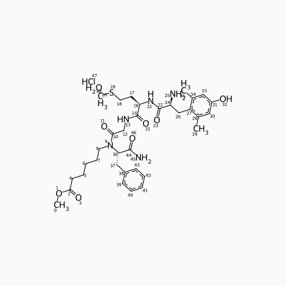 COC(=O)CCCCCN(C(=O)CNC(=O)[C@@H](CCSC)NC(=O)[C@@H](N)Cc1c(C)cc(O)cc1C)[C@@H](Cc1ccccc1)C(N)=O.Cl.O